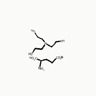 NC(CCC(=O)O)C(=O)O.OCCN(CCO)CCO.[Zr]